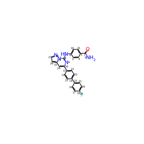 NC(=O)c1ccc(Nc2nc(-c3ccc(-c4ccc(F)cc4)cc3)cc3ccnn23)cc1